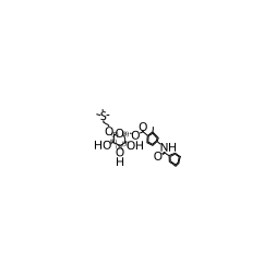 Cc1cc(NC(=O)c2ccccc2)ccc1C(=O)OC[C@H]1O[C@@H](OCCS(C)(C)C)[C@H](O)[C@@H](O)[C@@H]1O